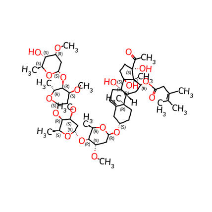 CO[C@H]1C[C@H](O[C@H]2[C@@H](OC)C[C@H](O[C@H]3CC[C@@]4(C)C(=CC[C@]5(O)[C@@H]4C[C@@H](OC(=O)CC(C)=C(C)C)[C@@]4(C)[C@@]5(O)CC[C@@]4(O)C(C)=O)C3)O[C@@H]2C)O[C@@H](C)[C@H]1O[C@H]1C[C@H](OC)[C@H](O[C@H]2C[C@@H](OC)[C@@H](O)[C@H](C)O2)[C@@H](C)O1